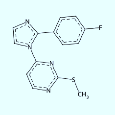 CSc1nccc(-n2ccnc2-c2ccc(F)cc2)n1